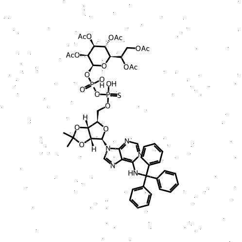 CC(=O)OCC(OC(C)=O)[C@H]1O[C@@H](OP(=O)(O)OP(O)(=S)OC[C@H]2O[C@@H](n3cnc4c(NC(c5ccccc5)(c5ccccc5)c5ccccc5)ncnc43)[C@@H]3OC(C)(C)O[C@@H]32)[C@@H](OC(C)=O)[C@@H](OC(C)=O)[C@@H]1OC(C)=O